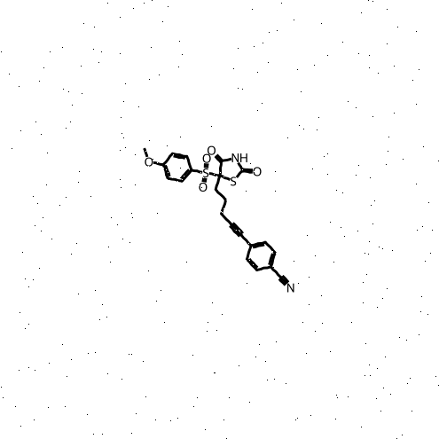 COc1ccc(S(=O)(=O)C2(CCCC#Cc3ccc(C#N)cc3)SC(=O)NC2=O)cc1